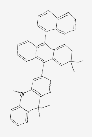 CN1c2ccccc2C(C)(C)c2ccc(-c3c4c(c(-c5cccc6ccccc56)c5ccccc35)=CCC(C)(C)C=4)cc21